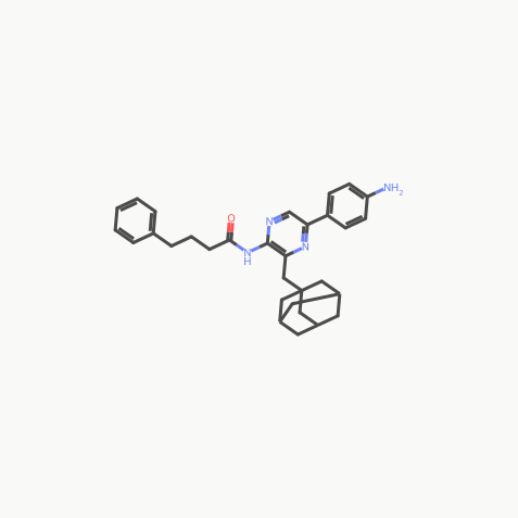 Nc1ccc(-c2cnc(NC(=O)CCCc3ccccc3)c(CC34CC5CC(CC(C5)C3)C4)n2)cc1